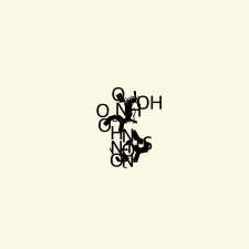 CNS(=O)(=O)N(C)Cc1csc2cn(CC3=C(C(=O)[O-])N4C(=O)[C@H]([C@@H](C)O)[C@H]4[C@H]3C)c[n+]12